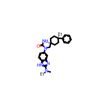 CCN(C)c1nc2cc(N(C[C@]3(C)CC[C@](CC)(c4ccccc4)CC3)C(N)=O)ccc2[nH]1